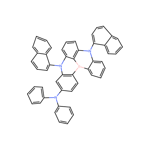 c1ccc(N(c2ccccc2)c2ccc3c(c2)N(c2cccc4ccccc24)c2cccc4c2B3c2ccccc2N4c2cccc3ccccc23)cc1